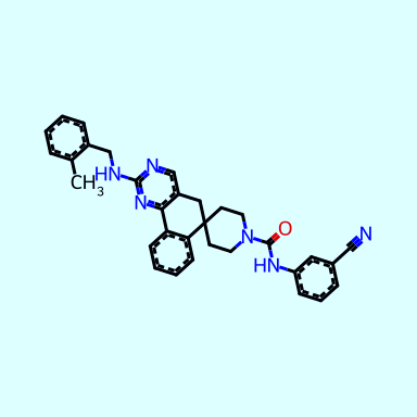 Cc1ccccc1CNc1ncc2c(n1)-c1ccccc1C1(CCN(C(=O)Nc3cccc(C#N)c3)CC1)C2